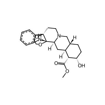 COC(=O)[C@@H]1[C@H]2C[C@@H]3N(CC[C@@]45OCCO[C@@]34Nc3ccccc35)C[C@@H]2CC[C@@H]1O